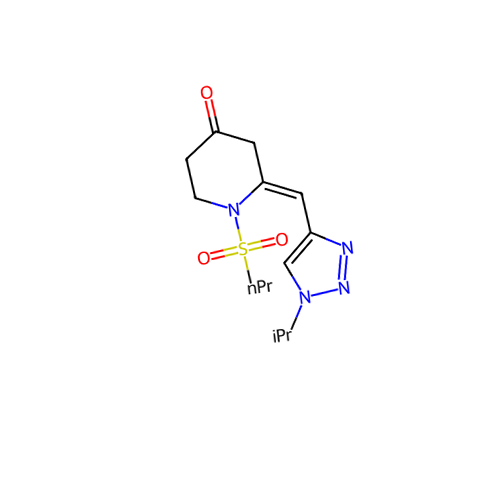 CCCS(=O)(=O)N1CCC(=O)CC1=Cc1cn(C(C)C)nn1